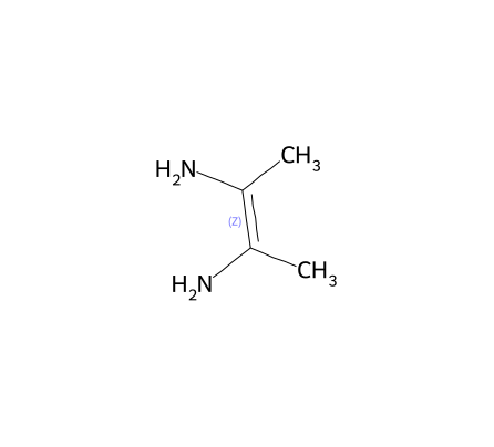 C/C(N)=C(\C)N